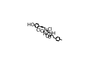 Cc1ccc(CCC(=O)Nc2c(Cl)n(CC#Cc3ccc(O)cc3Cl)c(=O)n(C)c2=O)cc1